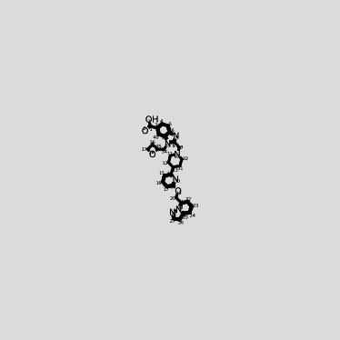 O=C(O)c1ccc2nc(CN3CCC(c4cccc(OCc5cccc6ccnn56)n4)CC3)n(CC3CCO3)c2c1